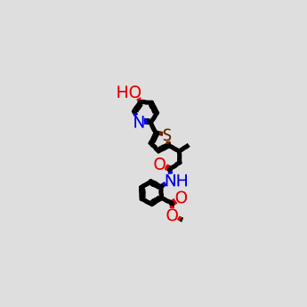 COC(=O)c1ccccc1NC(=O)CC(C)c1ccc(-c2ccc(O)cn2)s1